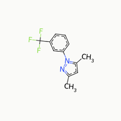 Cc1cc(C)n(-c2cccc(C(F)(F)F)c2)n1